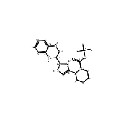 CC(C)(C)OC(=O)N1CCCCC1c1csc(C2COc3ccccc3O2)n1